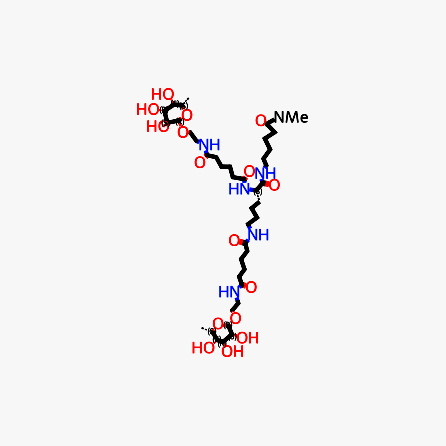 CNC(=O)CCCCCNC(=O)[C@H](CCCCNC(=O)CCCCC(=O)NCCO[C@@H]1O[C@@H](C)[C@@H](O)[C@@H](O)[C@@H]1O)NC(=O)CCCCC(=O)NCCO[C@@H]1O[C@@H](C)[C@@H](O)[C@@H](O)[C@@H]1O